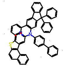 c1ccc(-c2ccc(N(c3cc4c(cn3)sc3ccc5ccccc5c34)c3cc4c(cc3-c3ccccc3)-c3ccccc3C4(c3ccccc3)c3ccccc3)cc2)cc1